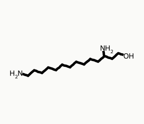 NCCCCCCCCCCCC(N)CCO